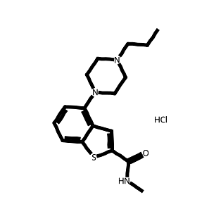 CCCN1CCN(c2cccc3sc(C(=O)NC)cc23)CC1.Cl